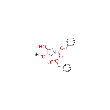 CC(C)O[C@H]1[C@@H](C(=O)OCc2ccccc2)N(C(=O)OCc2ccccc2)C[C@@H]1O